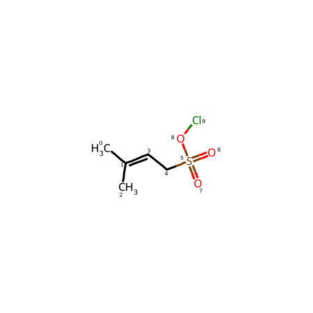 CC(C)=CCS(=O)(=O)OCl